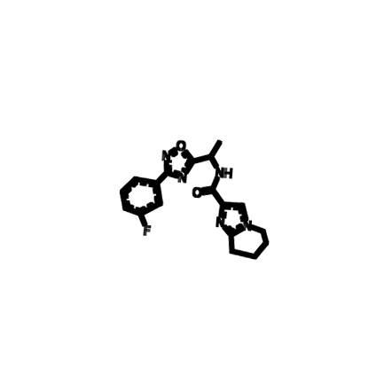 CC(NC(=O)c1cn2c(n1)CCCC2)c1nc(-c2cccc(F)c2)no1